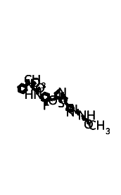 COCCNCCn1cc(-c2cc3nccc(Oc4ccc(NC(=O)CC(=O)N(C)c5ccccc5)cc4F)c3s2)cn1